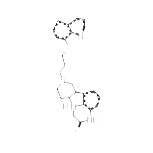 O=C1CN2c3c(cccc3[C@@H]3CN(CCCOc4cccc5cccnc45)CC[C@@H]32)N1